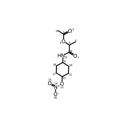 CC(=O)OC(C)C(=O)NC1CCC(O[N+](=O)[O-])CC1